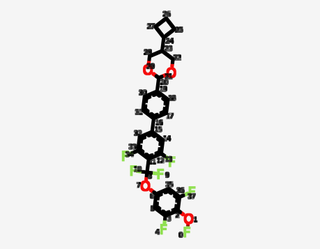 FOc1c(F)cc(OC(F)(F)c2c(F)cc(-c3ccc(C4OCC(C5CCC5)CO4)cc3)cc2F)cc1F